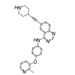 Cc1ncccc1Oc1ccc(Nc2ncnc3ccc(C#CC4CCNCC4)cc23)cc1